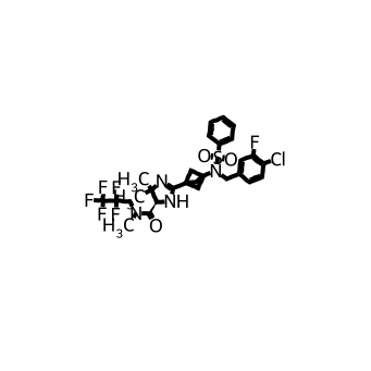 CN(CC(F)(F)C(F)(F)F)C(=O)[C@@H]1NC(C23CC(N(Cc4ccc(Cl)c(F)c4)S(=O)(=O)c4ccccc4)(C2)C3)=NC1(C)C